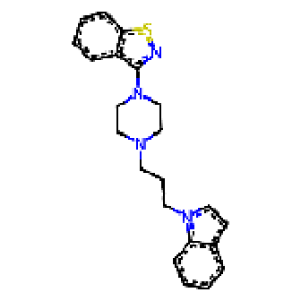 c1ccc2c(c1)ccn2CCCN1CCN(c2nsc3ccccc23)CC1